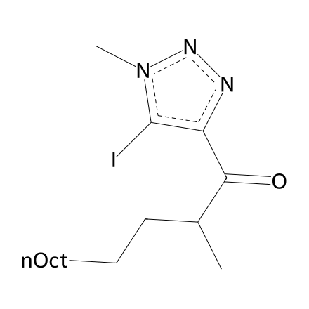 CCCCCCCCCCC(C)C(=O)c1nnn(C)c1I